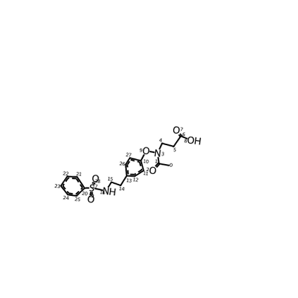 CC(=O)N(CCC(=O)O)Oc1ccc(CCNS(=O)(=O)c2ccccc2)cc1